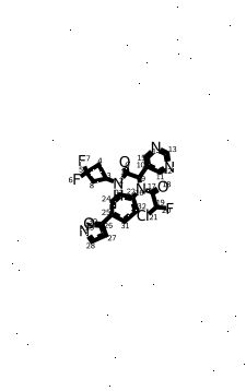 O=C(NC1CC(F)(F)C1)C(c1cncnc1)N(C(=O)C(F)Cl)c1ccc(-c2ccno2)cc1